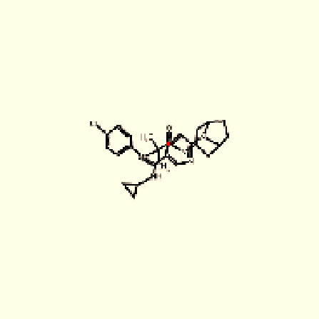 CC(C)(Oc1ccc(Cl)cc1)C(=O)NC1CC2CCC(C1)N2c1ccc(C(=O)NC2CC2)cn1